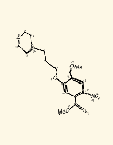 COC(=O)c1cc(OCCCN2CCOCC2)c(OC)cc1[N+](=O)[O-]